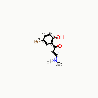 CCN(/C=C/C(=O)c1cc(Br)ccc1O)CC